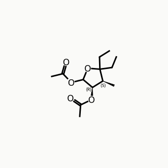 CCC1(CC)OC(OC(C)=O)[C@H](OC(C)=O)[C@@H]1C